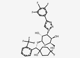 OC[C@H]1O[C@@H](S[C@@H](c2ccccc2C(F)(F)F)C2(O)CCC(F)(F)CC2)[C@H](O)[C@@H](n2cc(-c3cc(F)c(F)c(F)c3)nn2)[C@H]1O